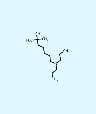 CCCN(CCC)CCCCCC(C)(C)C